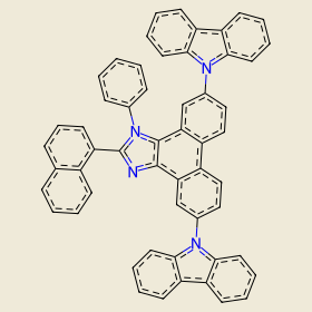 c1ccc(-n2c(-c3cccc4ccccc34)nc3c4cc(-n5c6ccccc6c6ccccc65)ccc4c4ccc(-n5c6ccccc6c6ccccc65)cc4c32)cc1